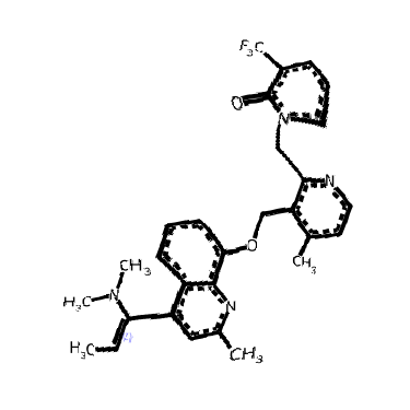 C/C=C(/c1cc(C)nc2c(OCc3c(C)ccnc3Cn3cccc(C(F)(F)F)c3=O)cccc12)N(C)C